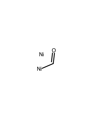 O=[CH][Ni].[Ni]